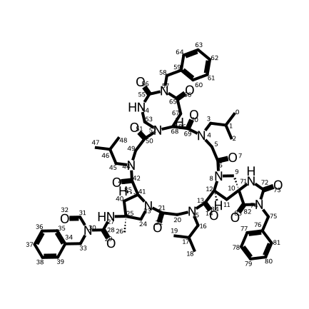 CC(C)CN1CC(=O)N2C[C@]3(C[C@H]2C(=O)N(CC(C)C)CC(=O)N2C[C@@](C)(NC(=O)N(C=O)Cc4ccccc4)C[C@H]2C(=O)N(CC(C)C)CC(=O)N2CNC(=O)N(Cc4ccccc4)C(=O)C[C@H]2C1=O)NC(=O)N(Cc1ccccc1)C3=O